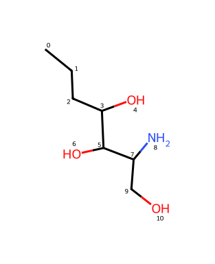 CCCC(O)C(O)C(N)CO